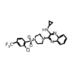 O=S(=O)(c1ccc(C(F)(F)F)cc1Cl)N1CCN(c2nc3ccccc3nc2NC2CC2)CC1